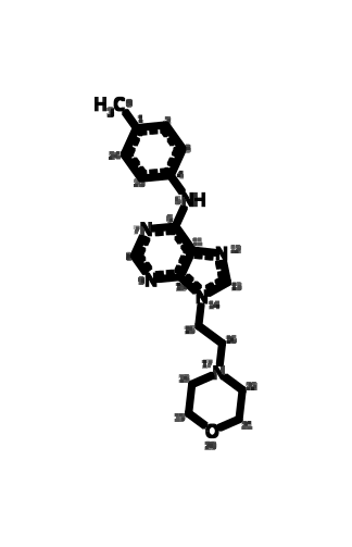 Cc1ccc(Nc2ncnc3c2ncn3CCN2CCOCC2)cc1